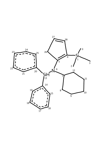 C[Si](C)(C)C1=C(N(C2CCCCC2)[SiH](c2ccccc2)c2ccccc2)CC=C1